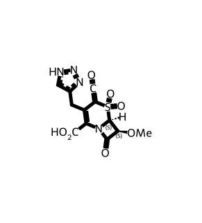 CO[C@H]1C(=O)N2C(C(=O)O)=C(Cc3c[nH]nn3)C(=C=O)S(=O)(=O)[C@@H]12